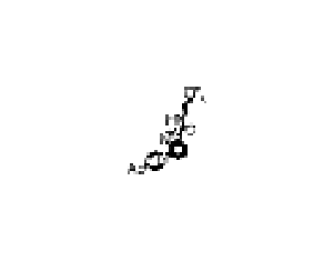 CC(=O)N1CCN(c2cccc3c2ncn3C(=O)NCCCC(F)(F)F)CC1